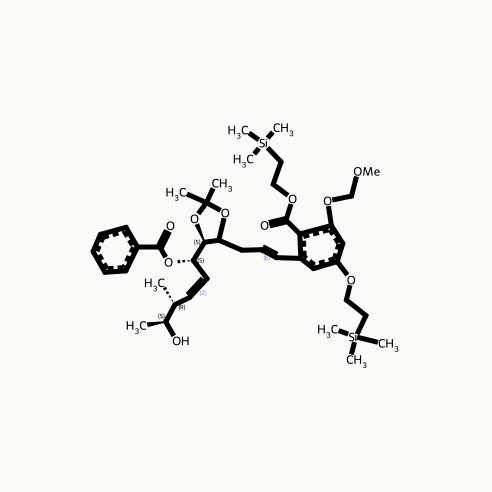 COCOc1cc(OCC[Si](C)(C)C)cc(/C=C/CC2OC(C)(C)O[C@@H]2[C@H](/C=C\[C@@H](C)[C@H](C)O)OC(=O)c2ccccc2)c1C(=O)OCC[Si](C)(C)C